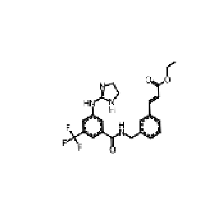 CCOC(=O)C=Cc1cccc(CNC(=O)c2cc(NC3=NCCN3)cc(C(F)(F)F)c2)c1